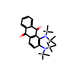 C[Si](C)(C)N(c1ccc2c(c1N([Si](C)(C)C)[Si](C)(C)C)C(=O)c1ccccc1C2=O)[Si](C)(C)C